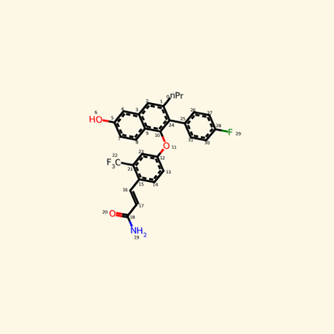 CCCc1cc2cc(O)ccc2c(Oc2ccc(C=CC(N)=O)c(C(F)(F)F)c2)c1-c1ccc(F)cc1